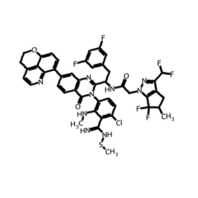 CNc1c(-n2c(C(Cc3cc(F)cc(F)c3)NC(=O)Cn3nc(C(F)F)c4c3C(F)(F)C(C)C4)nc3cc(-c4ccc5c6c(ccnc46)CCO5)ccc3c2=O)ccc(Cl)c1C(=N)NSC